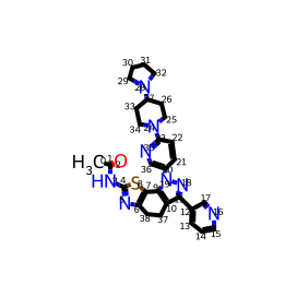 CC(=O)Nc1nc2c(s1)-c1c(c(-c3cccnc3)nn1-c1ccc(N3CCC(N4CCCC4)CC3)nc1)CC2